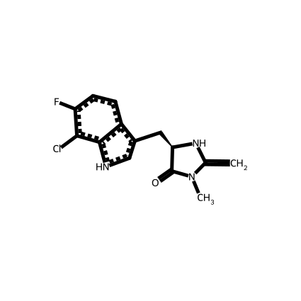 C=C1N[C@H](Cc2c[nH]c3c(Cl)c(F)ccc23)C(=O)N1C